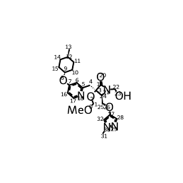 COCO[C@@]1(Cc2cc(O[C@H]3CC[C@H](C)CC3)ccn2)C(=O)N(CO)[C@H]1COc1cnn(C)c1